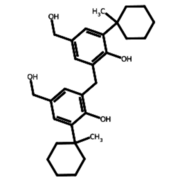 CC1(c2cc(CO)cc(Cc3cc(CO)cc(C4(C)CCCCC4)c3O)c2O)CCCCC1